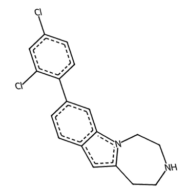 Clc1ccc(-c2ccc3cc4n(c3c2)CCNCC4)c(Cl)c1